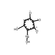 [OH][Hg][c]1c(O)cc(Cl)c(Cl)c1Cl